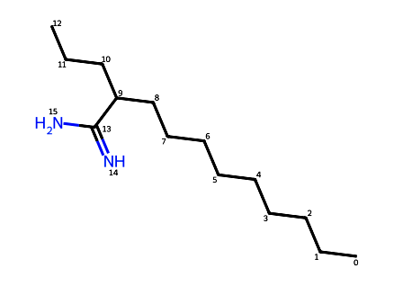 CCCCCCCCCC(CCC)C(=N)N